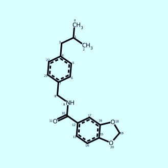 CC(C)Cc1ccc(CNC(=O)c2ccc3c(c2)OCO3)cc1